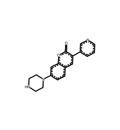 O=c1oc2cc(N3CCNCC3)ccc2cc1-c1cccnc1